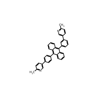 Cc1ccc(-c2ccc(-c3c4ccccc4c(-c4cccc(-c5ccc(C)nc5)c4)c4ccccc34)cc2)cn1